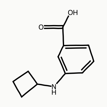 O=C(O)c1cccc(NC2CCC2)c1